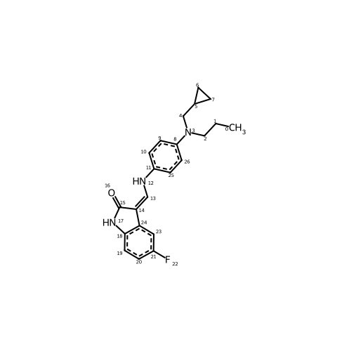 CCCN(CC1CC1)c1ccc(NC=C2C(=O)Nc3ccc(F)cc32)cc1